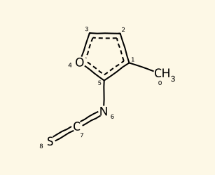 Cc1ccoc1N=C=S